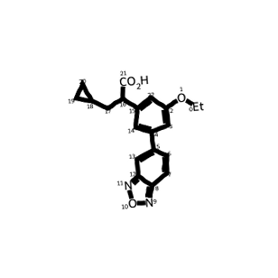 CCOc1cc(-c2ccc3nonc3c2)cc(C(CC2CC2)C(=O)O)c1